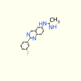 CC(=N)Nc1ccc2nc(-c3cccc(F)c3)ncc2c1